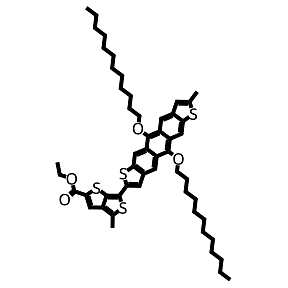 CCCCCCCCCCCCOc1c2cc3cc(-c4sc(C)c5cc(C(=O)OCC)sc45)sc3cc2c(OCCCCCCCCCCCC)c2cc3cc(C)sc3cc12